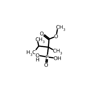 COC(=O)C(C)(C(C)C)P(=O)(O)O